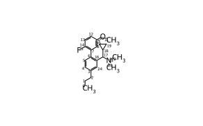 CCCc1ccc(-c2cc(OC)ccc2F)c(C(C2CC2)N(C)C)c1